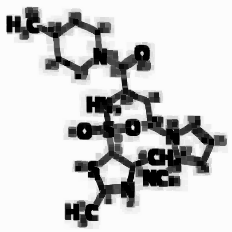 CC1=NC(C)C(S(=O)(=O)NC(CCn2cccc2C#N)C(=O)N2CCC(C)CC2)S1